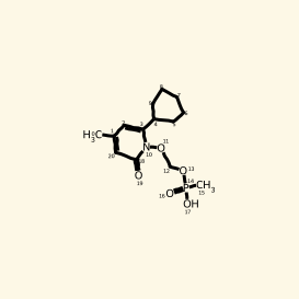 Cc1cc(C2CCCCC2)n(OCOP(C)(=O)O)c(=O)c1